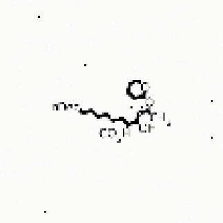 CCCCCCCCCCCCCCCC[C@@H](C(=O)O)C(O)CC(C)OC1CCCCO1